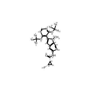 [2H]C([2H])([2H])Oc1ncnc(OC([2H])([2H])[2H])c1-c1cc2cc(NC(=O)[C@@H]3C[C@@H]3F)ncc2n1C